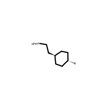 CCCCCCC[C@H]1CC[C@H](F)CC1